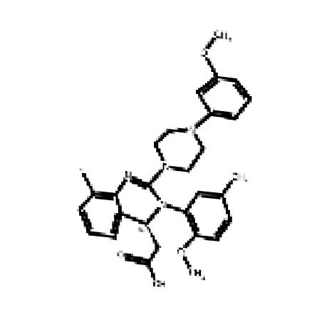 COc1cccc(N2CCN(C3=Nc4c(F)cccc4[C@H](CC(=O)O)N3c3cc(C)ccc3OC)CC2)c1